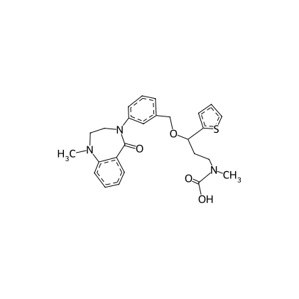 CN(CCC(OCc1cccc(N2CCN(C)c3ccccc3C2=O)c1)c1cccs1)C(=O)O